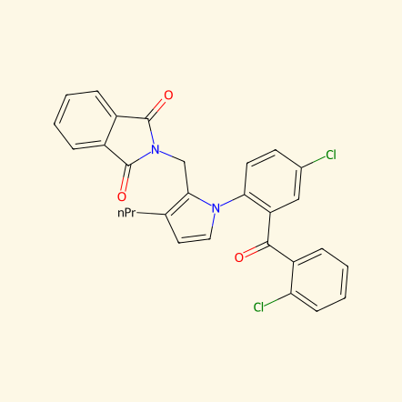 CCCc1ccn(-c2ccc(Cl)cc2C(=O)c2ccccc2Cl)c1CN1C(=O)c2ccccc2C1=O